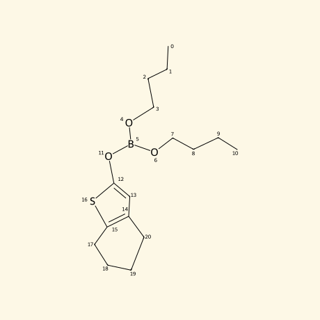 CCCCOB(OCCCC)Oc1cc2c(s1)CCCC2